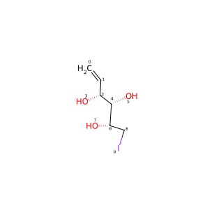 C=C[C@@H](O)[C@H](O)[C@@H](O)CI